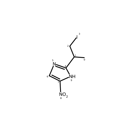 CC(CI)c1ncc([N+](=O)[O-])[nH]1